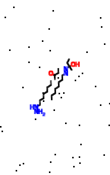 CCC(C)=O.CCCCCCCCN=NC(C)(O)CC.CCCCCCCCNN